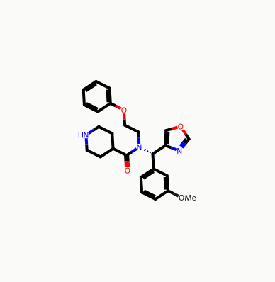 COc1cccc([C@@H](c2cocn2)N(CCOc2ccccc2)C(=O)C2CCNCC2)c1